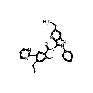 NCc1cnc2c(NC(=O)c3cc(-c4ncccn4)c(CF)cc3F)n(-c3ccccc3)nc2c1